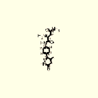 CC1CC(=O)NN=C1c1ccc(NC(=O)[C@@H](N)CC(N)=O)cc1